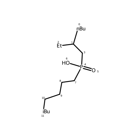 CCCCC(CC)CP(=O)(O)CCCCC(C)CC